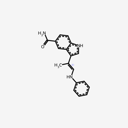 C/C(=C\Nc1ccccc1)c1c[nH]c2ccc(C(N)=O)cc12